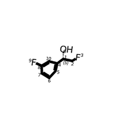 O[C@H](CF)c1cccc(F)c1